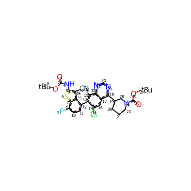 CC(C)(C)OC(=O)Nc1sc2c(F)ccc(-c3c(Cl)cc4c(C5CCCN(C(=O)OC(C)(C)C)C5)ncnc4c3F)c2c1C#N